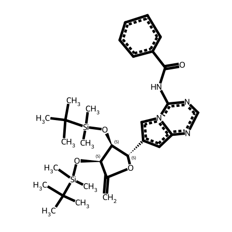 C=C1O[C@@H](c2cc3ncnc(NC(=O)c4ccccc4)n3c2)[C@H](O[Si](C)(C)C(C)(C)C)[C@@H]1O[Si](C)(C)C(C)(C)C